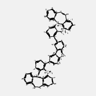 Cc1c(-c2cnc3oc4ncc(-c5cccc(N6c7ccccc7CCc7ccccc76)c5C)cc4c3c2)cccc1N1c2ccccc2CCc2ccccc21